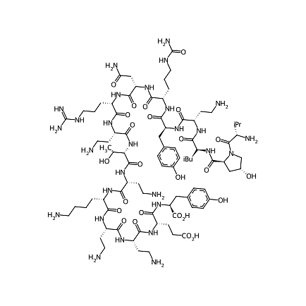 CC[C@H](C)[C@H](NC(=O)[C@@H]1C[C@@H](O)CN1C(=O)[C@@H](N)C(C)C)C(=O)N[C@@H](CCN)C(=O)N[C@@H](Cc1ccc(O)cc1)C(=O)N[C@@H](CCCNC(N)=O)C(=O)N[C@@H](CC(N)=O)C(=O)N[C@@H](CCCNC(=N)N)C(=O)N[C@@H](CCN)C(=O)N[C@H](C(=O)N[C@H](CCN)C(=O)N[C@@H](CCCCN)C(=O)N[C@@H](CCN)C(=O)N[C@@H](CCN)C(=O)N[C@@H](CCC(=O)O)C(=O)N[C@@H](Cc1ccc(O)cc1)C(=O)O)[C@@H](C)O